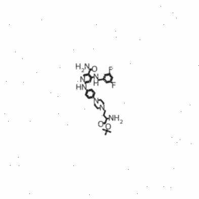 CC(C)(C)OC(=O)C(N)CCN1CCN(c2ccc(Nc3cc(NCc4cc(F)cc(F)c4)c(C(N)=O)cn3)cc2)CC1